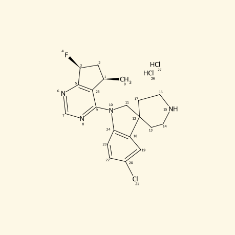 C[C@@H]1C[C@H](F)c2ncnc(N3CC4(CCNCC4)c4cc(Cl)ccc43)c21.Cl.Cl